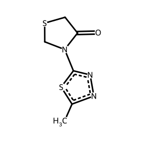 Cc1nnc(N2CSCC2=O)s1